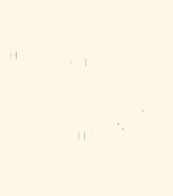 CCN(CC)CCCCC(O)CCS